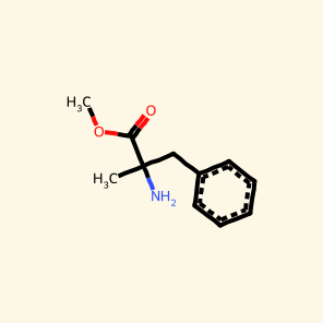 COC(=O)C(C)(N)Cc1ccccc1